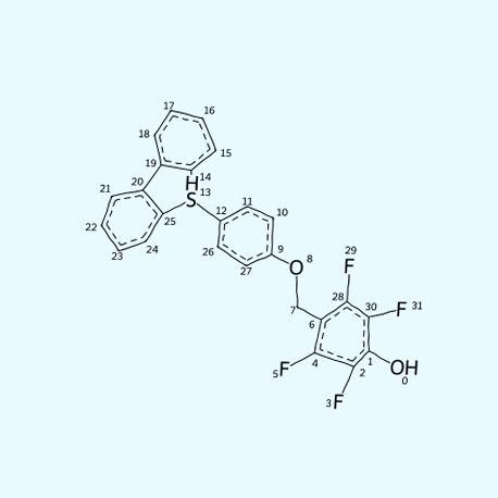 Oc1c(F)c(F)c(COc2ccc([SH]3c4ccccc4-c4ccccc43)cc2)c(F)c1F